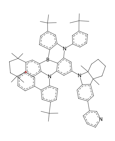 CC(C)(C)c1cccc(N2c3cc(C(C)(C)C)ccc3B3c4cc5c(cc4N(c4ccc(C(C)(C)C)cc4-c4ccccc4)c4cc(N6c7ccc(-c8cccnc8)cc7C7(C)CCCCC67C)cc2c43)C(C)(C)CCC5(C)C)c1